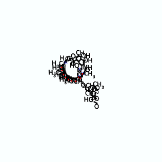 C=C(CC(C)(C)c1cc(P(=O)(O)CC=O)ccc1OC(C)=O)OCCN1CCN(/N=C/c2c3c(O)c4c(O)c(C)c5c(c4c2O)C(=O)[C@@](C)(O/C=C/[C@H](C)[C@@H](C)[C@@H](OC(C)=O)[C@H](C)[C@H](O)[C@H](C)[C@@H](O)[C@@H](C)/C=C/C=C(/C)C(=O)N3)O5)CC1